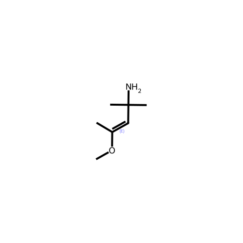 CO/C(C)=C/C(C)(C)N